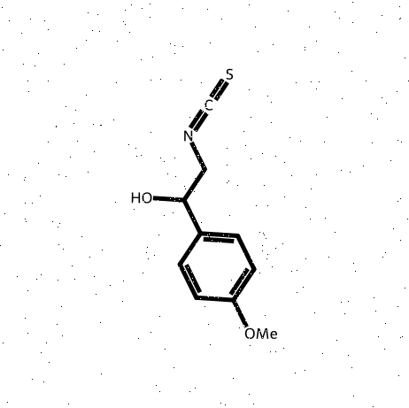 COc1ccc(C(O)CN=C=S)cc1